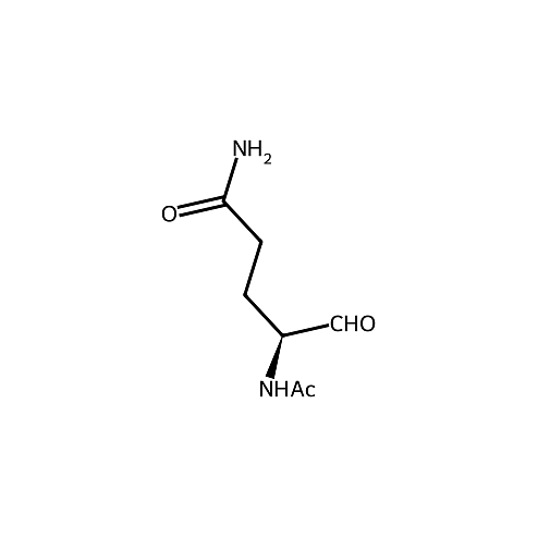 CC(=O)N[C@H](C=O)CCC(N)=O